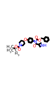 CC(C)(C)OC(=O)N1CCC(Oc2ccc(N(C(=O)OCc3ccccc3)C(=O)C3CNC3)cc2)CC1